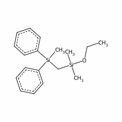 CCO[Si](C)(C)C[Si](C)(c1ccccc1)c1ccccc1